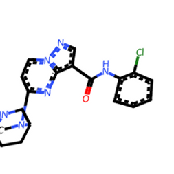 O=C(Nc1ccccc1Cl)c1cnn2ccc(N3CC4CCC3CN4)nc12